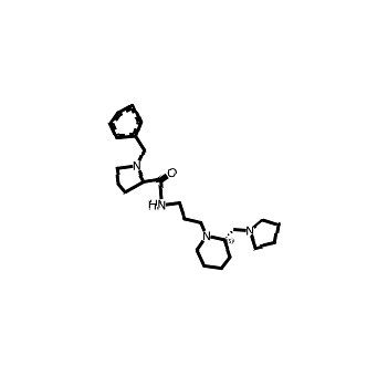 O=C(NCCCN1CCCC[C@H]1CN1CCCC1)C1CCCN1Cc1ccccc1